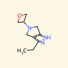 CCc1n[nH]c2c1CN(C1COC1)C2